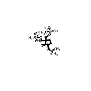 CN(C)/C=C1\CCC(CO[Si](C)(C)C(C)(C)C)(CO[Si](C)(C)C(C)(C)C)C1=O